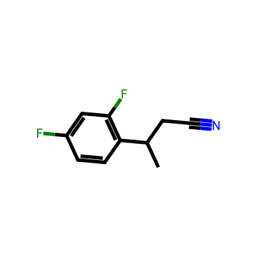 CC(CC#N)c1ccc(F)cc1F